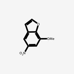 COc1cc([N+](=O)[O-])cc2c[c]oc12